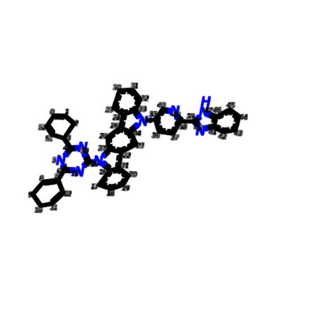 C1=CCC(c2nc(C3=CCCC=C3)nc(-n3c4ccccc4c4cc5c(cc43)c3ccccc3n5-c3ccc(-c4nc5ccccc5[nH]4)nc3)n2)C=C1